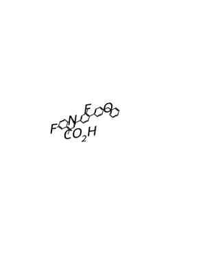 O=C(O)c1cc(-c2ccc(-c3ccc(Oc4ccccc4)cc3)c(F)c2)nc2ccc(F)cc12